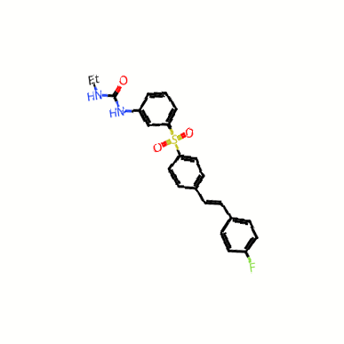 CCNC(=O)Nc1cccc(S(=O)(=O)c2ccc(/C=C/c3ccc(F)cc3)cc2)c1